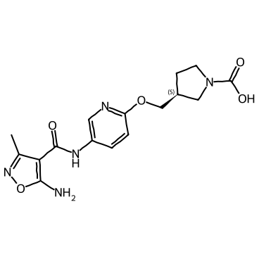 Cc1noc(N)c1C(=O)Nc1ccc(OC[C@H]2CCN(C(=O)O)C2)nc1